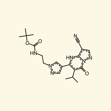 CC(C)c1c(-c2cnn(CCNC(=O)OC(C)(C)C)c2)[nH]c2c(C#N)cnn2c1=O